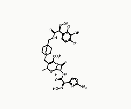 C[C@@H]1S[C@@H]2[C@H](NC(=O)/C(=N\O)c3csc(N)n3)C(=O)N2C(C(=O)O)=C1C[N+]12CCC(CNC(=O)/C(=N/O)c3ccc(O)c(O)c3Cl)(CC1)CC2